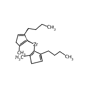 CCCCC1=CCC(C)=[C]1[Zr][C]1=C(C)CC=C1CCCC